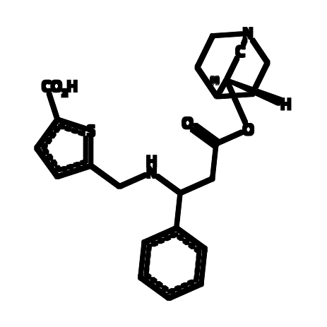 O=C(CC(NCc1ccc(C(=O)O)s1)c1ccccc1)O[C@H]1CN2CCC1CC2